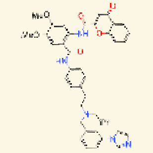 COc1cc(NC(=O)c2cc(=O)c3ccccc3o2)c(C(=O)Nc2ccc(CCN(Cc3cccc(-n4ccnc4)c3)CC(C)C)cc2)cc1OC